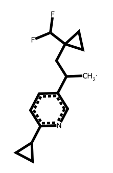 [CH2]C(CC1(C(F)F)CC1)c1ccc(C2CC2)nc1